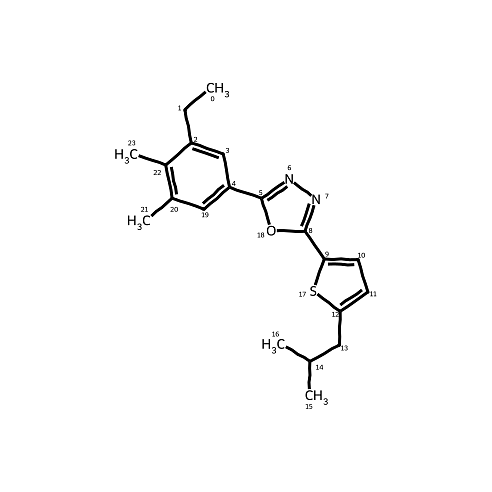 CCc1cc(-c2nnc(-c3ccc(CC(C)C)s3)o2)cc(C)c1C